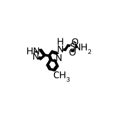 Cc1ccc2c(-c3cn[nH]c3)cc(NCCS(N)(=O)=O)nc2c1